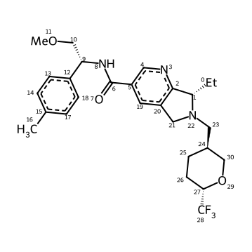 CC[C@H]1c2ncc(C(=O)N[C@@H](COC)c3ccc(C)cc3)cc2CN1C[C@@H]1CC[C@@H](C(F)(F)F)OC1